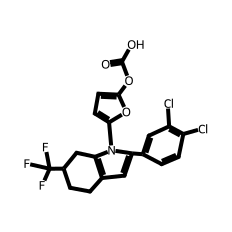 O=C(O)Oc1ccc(-n2c(-c3ccc(Cl)c(Cl)c3)cc3c2CC(C(F)(F)F)CC3)o1